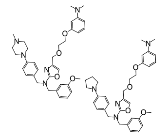 COc1cccc(CN(Cc2ccc(N3CCCC3)cc2)c2nc(COCCOc3cccc(N(C)C)c3)co2)c1.COc1cccc(CN(Cc2ccc(N3CCN(C)CC3)cc2)c2nc(COCCOc3cccc(N(C)C)c3)co2)c1